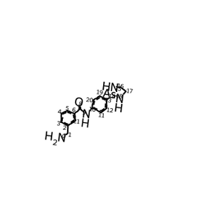 NCc1cccc(C(=O)Nc2ccc([As]3NCCN3)cc2)c1